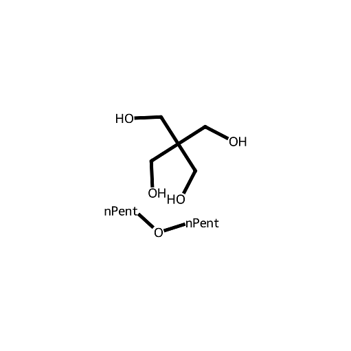 CCCCCOCCCCC.OCC(CO)(CO)CO